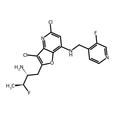 C[C@H](F)[C@H](N)Cc1oc2c(NCc3ccncc3F)cc(Cl)nc2c1Cl